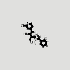 CCC(C(=N)C(=O)c1ccnc(Cl)c1)c1nnc(-c2ccccc2F)o1